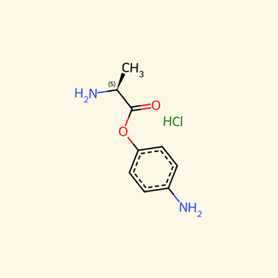 C[C@H](N)C(=O)Oc1ccc(N)cc1.Cl